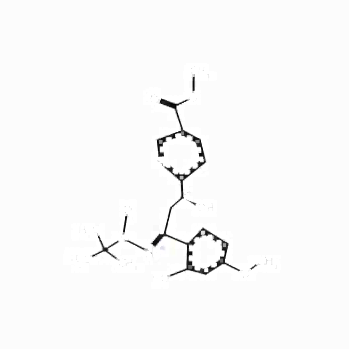 COC(=O)c1ccc([C@@H](O)C/C(=N\[S+]([O-])C(C)(C)C)c2ccc(OC)cc2O)nc1